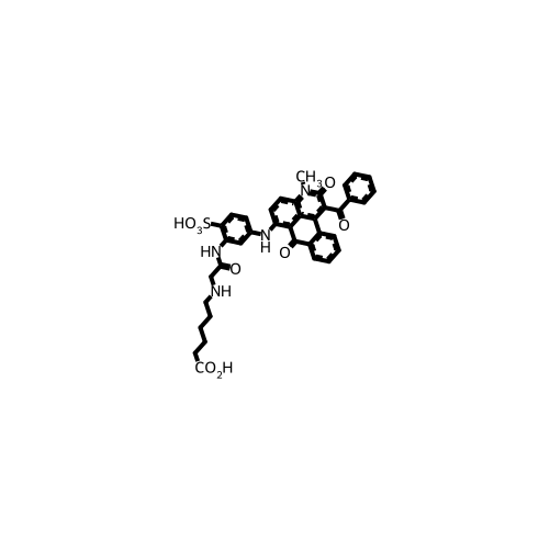 Cn1c(=O)c(C(=O)c2ccccc2)c2c3c(c(Nc4ccc(S(=O)(=O)O)c(NC(=O)CNCCCCCC(=O)O)c4)ccc31)C(=O)c1ccccc1-2